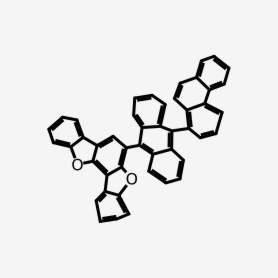 c1ccc2c(c1)ccc1c(-c3c4ccccc4c(-c4cc5c6ccccc6oc5c5c4oc4ccccc45)c4ccccc34)cccc12